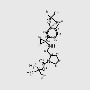 CC(C)(C)OC(=O)N1CCCC1CNC1(c2ccc(F)c(OC(F)(F)F)c2)CC1